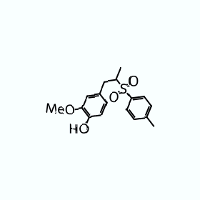 COc1cc(CC(C)S(=O)(=O)c2ccc(C)cc2)ccc1O